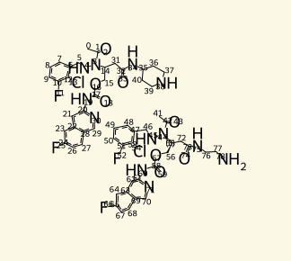 CC(=O)N(NCc1cccc(F)c1Cl)C(COC(=O)Nc1cc2cc(F)ccc2cn1)CC(=O)NC1CCNCC1.CC(=O)N(NCc1cccc(F)c1Cl)[C@H](COC(=O)Nc1cc2cc(F)ccc2cn1)CC(=O)NCCN